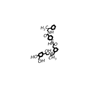 C[C@H](Cc1cccc(CC(=O)NCc2ccc(C(=O)NC[C@@H](C)c3ccccc3)cc2)c1)NC[C@H](O)c1ccc(O)c(CO)c1